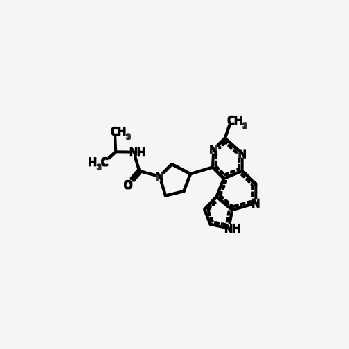 Cc1nc(C2CCN(C(=O)NC(C)C)C2)c2c(cnc3[nH]ccc32)n1